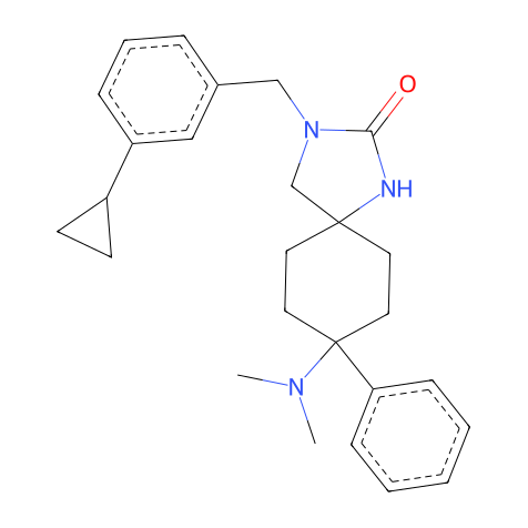 CN(C)C1(c2ccccc2)CCC2(CC1)CN(Cc1cccc(C3CC3)c1)C(=O)N2